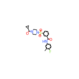 Cc1cc(NC(=O)c2cccc(S(=O)(=O)N3CCN(C(=O)C4CC4)CC3)c2)ccc1F